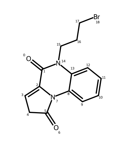 O=C1C2=CCC(=O)N2c2ccccc2N1CCCBr